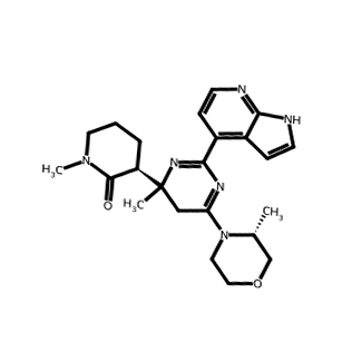 C[C@@H]1COCCN1C1=NC(c2ccnc3[nH]ccc23)=NC(C)([C@@H]2CCCN(C)C2=O)C1